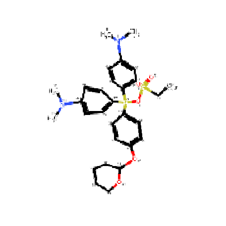 CN(C)c1ccc(S(OS(=O)(=O)CC(F)(F)F)(c2ccc(OC3CCCCO3)cc2)c2ccc(N(C)C)cc2)cc1